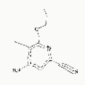 CCOc1nc(C#N)cc(N)c1C